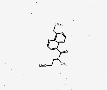 COCCN(C)C(=O)c1ccnc2c(SSC)cccc12